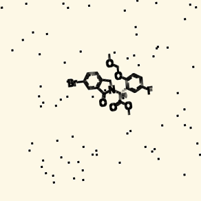 COCOc1ccc(F)cc1[C@H](C(=O)OC)N1Cc2ccc(Br)cc2C1=O